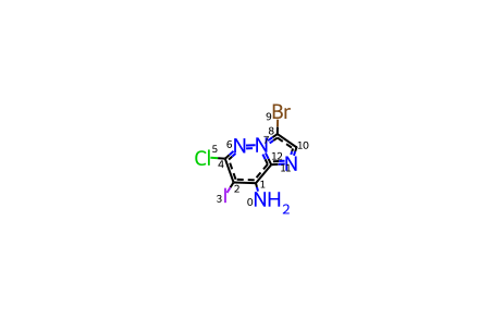 Nc1c(I)c(Cl)nn2c(Br)cnc12